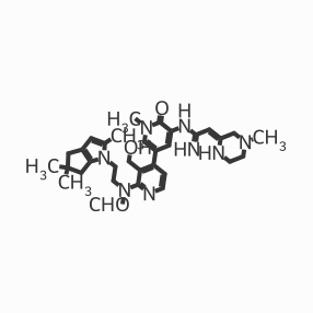 Cc1cc2c(n1CCN(C=O)c1nccc(-c3cc(NC(=N)/C=C4/CN(C)CCN4)c(=O)n(C)c3)c1CO)CC(C)(C)C2